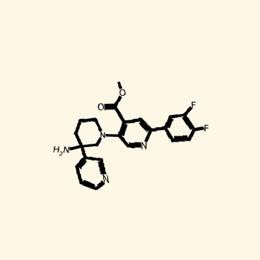 COC(=O)c1cc(-c2ccc(F)c(F)c2)ncc1N1CCCC(N)(c2cccnc2)C1